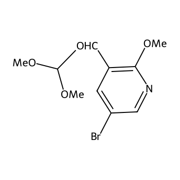 COC(C)OC.COc1ncc(Br)cc1C=O